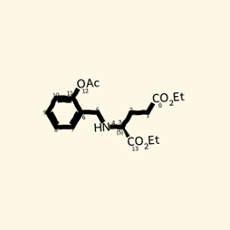 CCOC(=O)CC[C@H](NCc1ccccc1OC(C)=O)C(=O)OCC